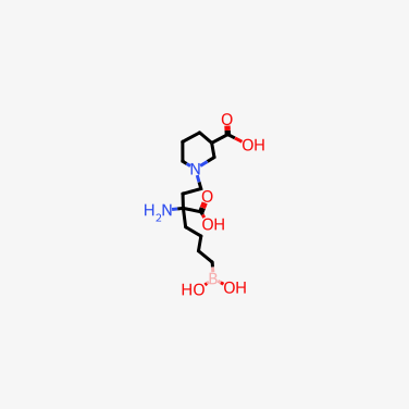 NC(CCCCB(O)O)(CCN1CCCC(C(=O)O)C1)C(=O)O